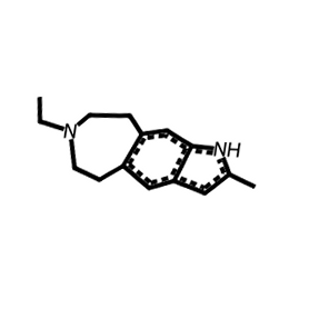 CCN1CCc2cc3cc(C)[nH]c3cc2CC1